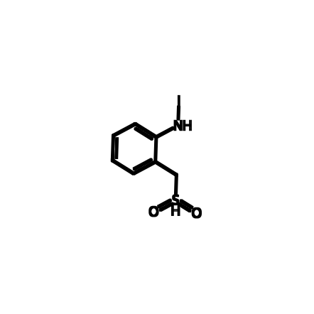 O=[SH](=O)Cc1ccccc1NI